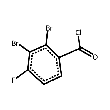 O=C(Cl)c1ccc(F)c(Br)c1Br